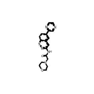 O=C(CN1CCOCC1)Nc1cc2cc(-c3cnccn3)ccc2nn1